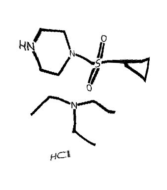 CCN(CC)CC.Cl.O=S(=O)(C1CC1)N1CCNCC1